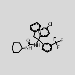 O=C(NC1CCCCC1)NC(Cc1ccccc1)(c1cccc(C(F)(F)F)c1)c1ccc(Cl)cn1